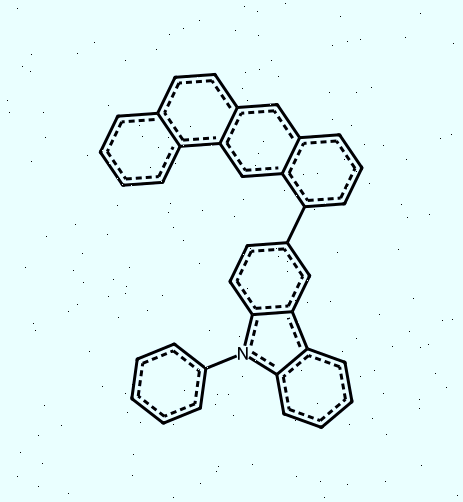 c1ccc(-n2c3ccccc3c3cc(-c4cccc5cc6ccc7ccccc7c6cc45)ccc32)cc1